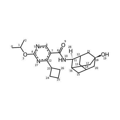 CC(C)Oc1ncc(C(=O)N[C@H]2C3CC4CC2C[C@@](O)(C4)C3)c(C2CCC2)n1